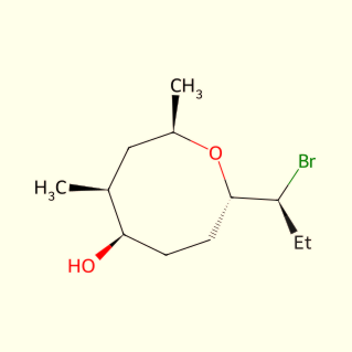 CC[C@H](Br)[C@@H]1CC[C@@H](O)[C@@H](C)C[C@@H](C)O1